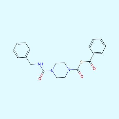 O=C(SC(=O)N1CCN(C(=O)NCc2ccccc2)CC1)c1ccccc1